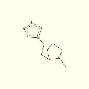 CN1CC2CC1CC2n1cnnc1